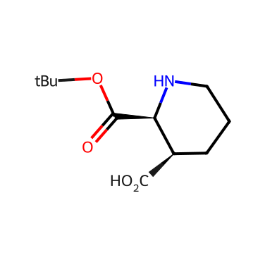 CC(C)(C)OC(=O)[C@H]1NCCC[C@H]1C(=O)O